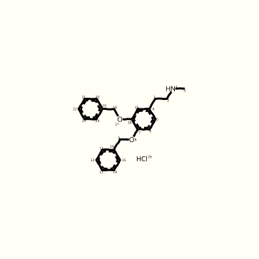 CNCCc1ccc(OCc2ccccc2)c(OCc2ccccc2)c1.Cl